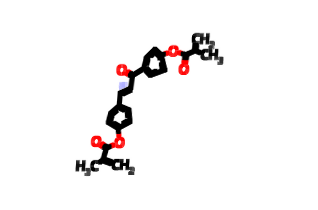 C=C(C)C(=O)Oc1ccc(/C=C/C(=O)c2ccc(OC(=O)C(=C)C)cc2)cc1